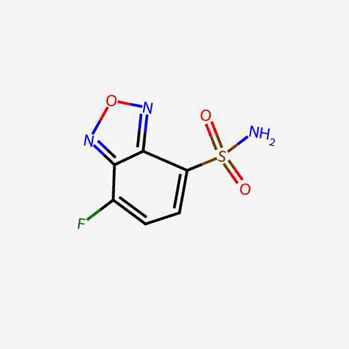 NS(=O)(=O)c1ccc(F)c2nonc12